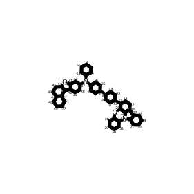 c1ccc(N(c2ccc(-c3ccc(-c4ccc5c6ccccc6n6c5c4Oc4ccccc4-6)cc3)cc2)c2ccc3c(c2)oc2ccc4ccccc4c23)cc1